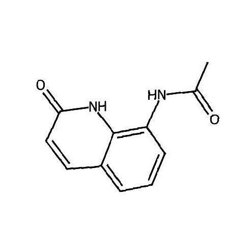 CC(=O)Nc1cccc2ccc(=O)[nH]c12